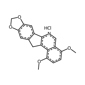 COc1ccc(OC)c2c3c(ncc12)-c1cc2c(cc1C3)OCO2.Cl